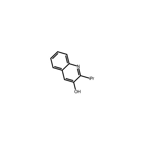 CC(C)c1nc2ccccc2cc1O